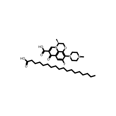 CCCCCCCCCCCCCCCCCC(=O)O.C[C@H]1COc2c(N3CCN(C)CC3)c(F)cc3c(=O)c(C(=O)O)cn1c23